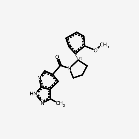 COc1ccccc1[C@@H]1CCCN1C(=O)c1cnc2[nH]nc(C)c2c1